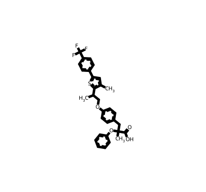 Cc1cc(-c2ccc(C(F)(F)F)cc2)sc1C(C)COc1ccc(CC(C)(Oc2ccccc2)C(=O)O)cc1